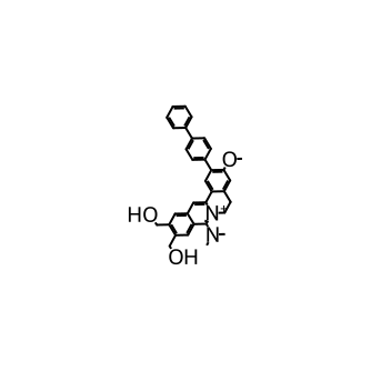 COc1cc2c(cc1-c1ccc(-c3ccccc3)cc1)-c1cc3cc(CO)c(CO)cc3c(N(C)C)[n+]1CC2